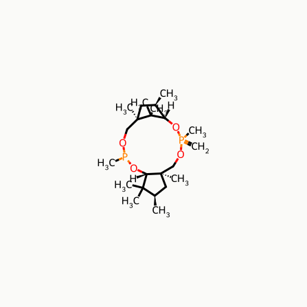 C=P1(C)OC[C@@]2(C)C[C@@H](C)C(C)(C)[C@@H]2OP(C)OC[C@@]2(C)C[C@@H](C)[C@H](O1)C2(C)C